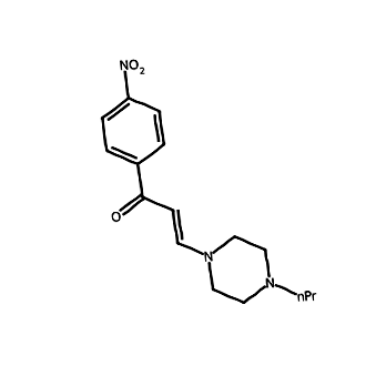 CCCN1CCN(C=CC(=O)c2ccc([N+](=O)[O-])cc2)CC1